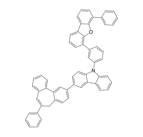 C1=C(c2ccccc2)Cc2ccc(-c3ccc4c(c3)c3ccccc3n4-c3cccc(-c4cccc5c4oc4c(-c6ccccc6)cccc45)c3)cc2-c2ccccc21